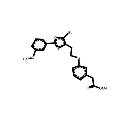 CCc1oc(-c2cccc(OC(F)(F)F)c2)nc1CCOc1cccc(CC(=O)OC)c1